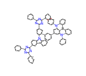 c1ccc(-c2nc(-c3ccccc3)nc(-c3ccc(-n4c5ccccc5c5cc(-c6nc(-c7ccccc7)nc(-c7ccccc7)n6)ccc54)c(-c4cccc(-c5cc6c7c(c5)N(c5ccccc5)c5ccccc5B7c5ccccc5N6c5ccccc5)c4)c3)n2)cc1